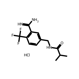 CC(C)C(=O)NCc1ccc(C(F)(F)F)c(C(=N)N)c1.Cl